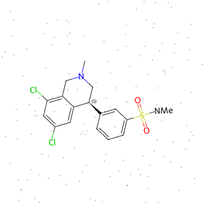 CNS(=O)(=O)c1cccc([C@@H]2CN(C)Cc3c(Cl)cc(Cl)cc32)c1